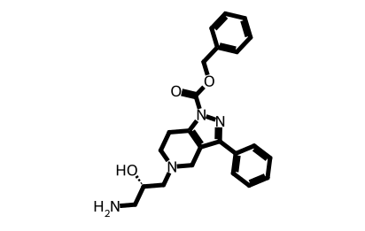 NC[C@H](O)CN1CCc2c(c(-c3ccccc3)nn2C(=O)OCc2ccccc2)C1